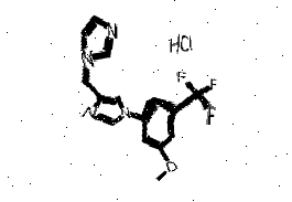 COc1cc(-n2cnc(Cn3ccnc3)c2)cc(C(F)(F)F)c1.Cl